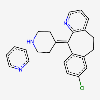 Clc1ccc2c(c1)CCc1cccnc1C2=C1CCNCC1.c1ccncc1